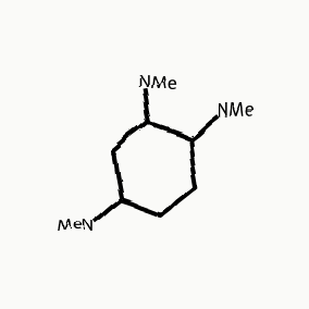 CN[C]1CCC(NC)CC1NC